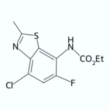 CCOC(=O)Nc1c(F)cc(Cl)c2nc(C)sc12